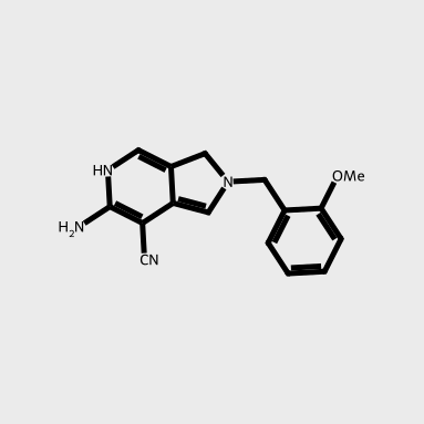 COc1ccccc1CN1C=C2C(=CNC(N)=C2C#N)C1